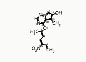 C=C/C(=C\C=C(/C)Oc1ncnn2cc(O)c(C)c12)[N+](=O)[O-]